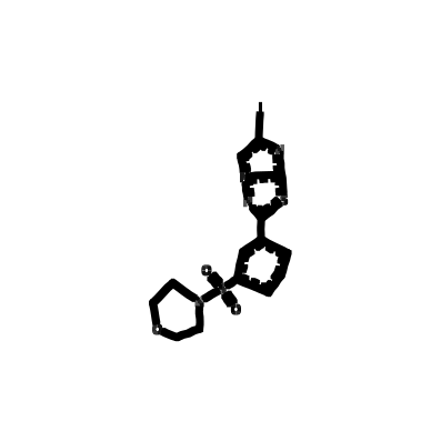 O=S(=O)(c1cccc(-c2nn3cc(I)nc3s2)c1)N1CCOCC1